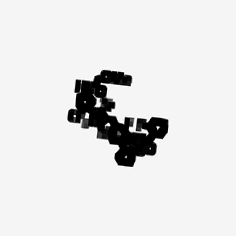 CCCCc1nn(-c2cc(NC(=O)COC)ccc2C(F)(F)F)c(N(C)C)c1Cc1ccc(-c2ccccc2S(=O)(=O)NC(=O)c2ccccc2F)cc1F